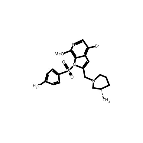 COc1ncc(Br)c2cc(CN3CCC[C@H](C)C3)n(S(=O)(=O)c3ccc(C)cc3)c12